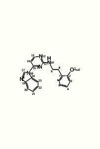 COc1ccccc1CCNc1nccc(-n2cnc3ccccc32)n1